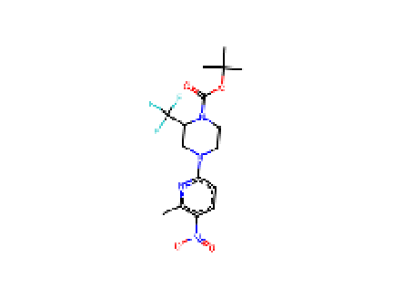 Cc1nc(N2CCN(C(=O)OC(C)(C)C)C(C(F)(F)F)C2)ccc1[N+](=O)[O-]